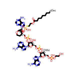 CCCCCCCCCCCCCCCCCC(=O)OCCSP(=O)(O)O[C@@H]1C2OCC[C@]1(COP(O)(=S)OC1[C@@H](O)[C@@H](COP(O)(=S)OC3[C@@H](OC)[C@@H](COP(=O)(O)OCCO)O[C@H]3n3cnc4c(N)ncnc43)O[C@H]1n1cnc3c(N)ncnc31)O[C@H]2n1cnc2c(N)ncnc21